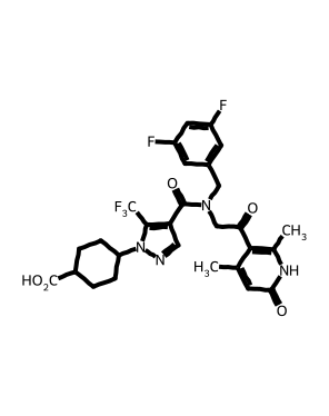 Cc1cc(=O)[nH]c(C)c1C(=O)CN(Cc1cc(F)cc(F)c1)C(=O)c1cnn(C2CCC(C(=O)O)CC2)c1C(F)(F)F